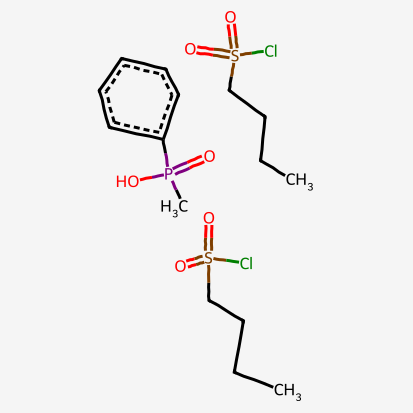 CCCCS(=O)(=O)Cl.CCCCS(=O)(=O)Cl.CP(=O)(O)c1ccccc1